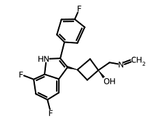 C=NC[C@]1(O)C[C@@H](c2c(-c3ccc(F)cc3)[nH]c3c(F)cc(F)cc32)C1